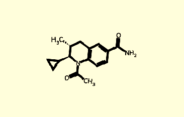 CC(=O)N1c2ccc(C(N)=O)cc2C[C@@H](C)[C@@H]1C1CC1